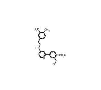 CCOc1cc(-c2cc(NCCc3ccc(C)c(C)c3)ncn2)ccc1C(=O)O